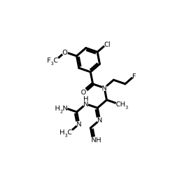 C/N=C(\N)N/C(=N\C=N)C(C)N(CCF)C(=O)c1cc(Cl)cc(OC(F)(F)F)c1